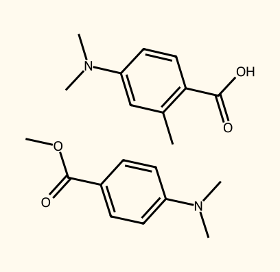 COC(=O)c1ccc(N(C)C)cc1.Cc1cc(N(C)C)ccc1C(=O)O